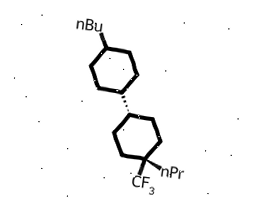 CCCCC1CCC([C@H]2CC[C@@](CCC)(C(F)(F)F)CC2)CC1